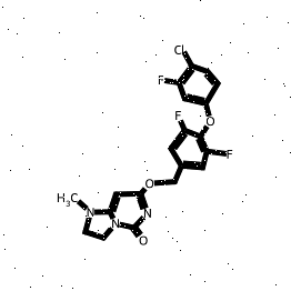 CN1CCn2c1cc(OCc1cc(F)c(Oc3ccc(Cl)c(F)c3)c(F)c1)nc2=O